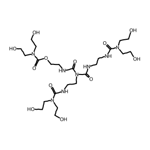 O=C(NCCNC(=O)N(CCNC(=O)N(CCO)CCO)C(=O)NCCOC(=O)N(CCO)CCO)N(CCO)CCO